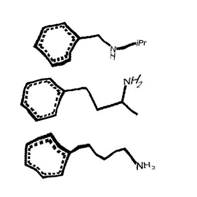 CC(C)NCc1ccccc1.CC(N)CCc1ccccc1.NCCCc1ccccc1